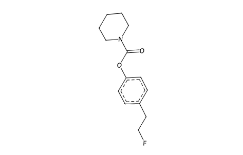 O=C(Oc1ccc(CCF)cc1)N1CCCCC1